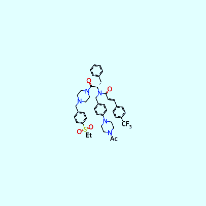 CCS(=O)(=O)c1ccc(CN2CCN(C(=O)[C@H](Cc3ccccc3)N(Cc3ccc(N4CCN(C(C)=O)CC4)cc3)C(=O)C=Cc3ccc(C(F)(F)F)cc3)CC2)cc1